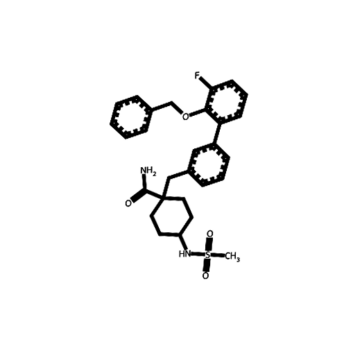 CS(=O)(=O)NC1CCC(Cc2cccc(-c3cccc(F)c3OCc3ccccc3)c2)(C(N)=O)CC1